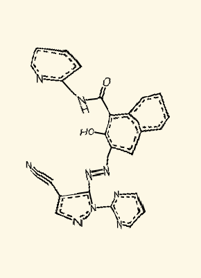 N#Cc1cnn(-c2ncccn2)c1/N=N/c1cc2ccccc2c(C(=O)Nc2ccccn2)c1O